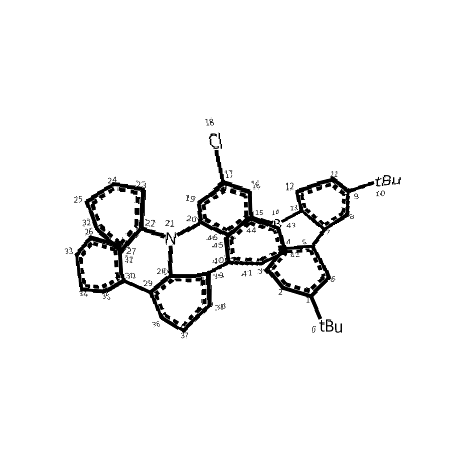 CC(C)(C)c1ccc2c(c1)-c1cc(C(C)(C)C)ccc1B2c1cc(Cl)cc(N(c2ccccc2)c2c(-c3ccccc3)cccc2-c2ccccc2)c1